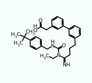 CCN(C(=N)CCCc1cccc(-c2cccc(CC(=O)O)c2)c1)C(=O)NCc1ccc(C(C)(C)C)cc1